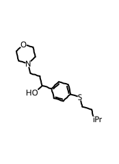 CC(C)CCSc1ccc(C(O)CCN2CCOCC2)cc1